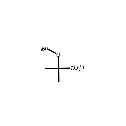 CCC(C)OC(C)(C)C(=O)O